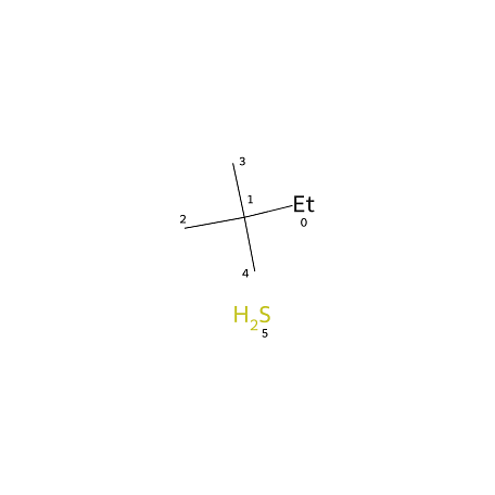 CCC(C)(C)C.S